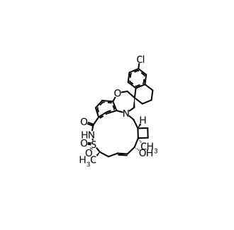 C[C@@H]1C/C=C/[C@@H](O)[C@]2(C)CC[C@H]2CN2C[C@@]3(CCCc4cc(Cl)ccc43)COc3ccc(cc32)C(=O)NS1(=O)=O